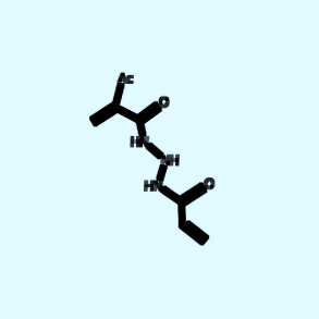 C=CC(=O)NNNC(=O)C(=C)C(C)=O